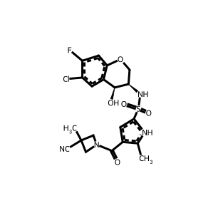 Cc1[nH]c(S(=O)(=O)N[C@@H]2COc3cc(F)c(Cl)cc3[C@@H]2O)cc1C(=O)N1CC(C)(C#N)C1